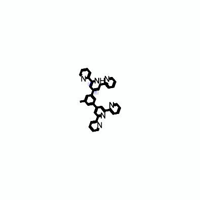 Cc1cc(C(/C=C(\N)c2ccccn2)=C/Cc2ccccn2)cc(-c2cc(-c3ccccn3)nc(-c3ccccn3)c2)c1